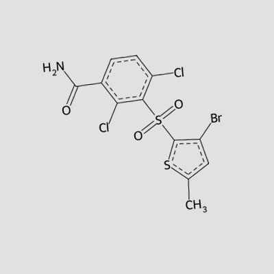 Cc1cc(Br)c(S(=O)(=O)c2c(Cl)ccc(C(N)=O)c2Cl)s1